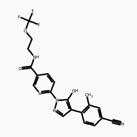 Cc1cc(C#N)ccc1-c1cnn(-c2ccc(C(=O)NCCOC(F)(F)F)cn2)c1O